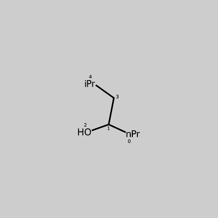 C[CH]CC(O)CC(C)C